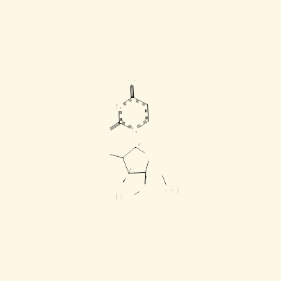 CO[C@]1(CO)O[C@@H](n2ccc(=O)[nH]c2=O)C(F)[C@@H]1O